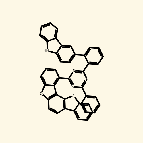 c1ccc(-c2nc(-c3ccccc3-c3ccc4[nH]c5ccccc5c4c3)nc(-c3cccc4oc5ccc6c7ccccc7sc6c5c34)n2)cc1